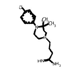 CC1(C)CN(CCCC(=N)N)CCN1c1ccc(Cl)cc1